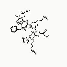 C[C@H](N)C(=O)N[C@@H](CCCCN)C(=O)N[C@@H](CCC(=O)O)C(=O)N[C@@H](CCCCN)C(=O)N[C@@H](Cc1ccccc1)C(=O)N[C@@H](CC(=O)O)C(=O)O